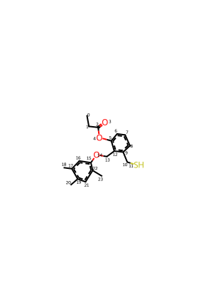 CCC(=O)Oc1cccc(CS)c1COc1cc(C)c(C)cc1C